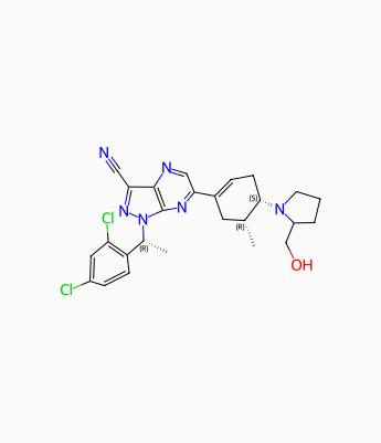 C[C@@H]1CC(c2cnc3c(C#N)nn([C@H](C)c4ccc(Cl)cc4Cl)c3n2)=CC[C@@H]1N1CCCC1CO